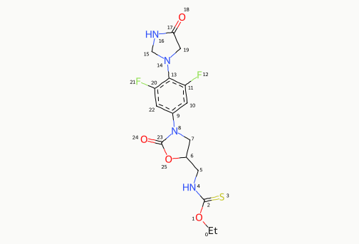 CCOC(=S)NCC1CN(c2cc(F)c(N3CNC(=O)C3)c(F)c2)C(=O)O1